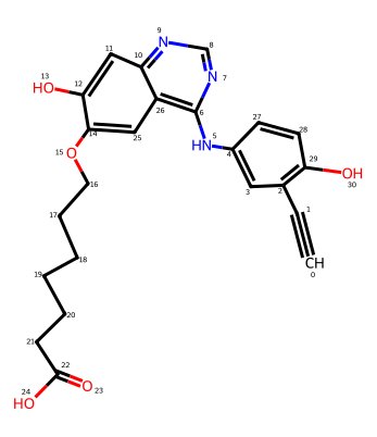 C#Cc1cc(Nc2ncnc3cc(O)c(OCCCCCCC(=O)O)cc23)ccc1O